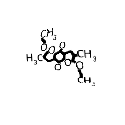 CCCOC(=O)C(C)CC1CC(=O)C(CC(C)C(=O)OCCC)CC1=O